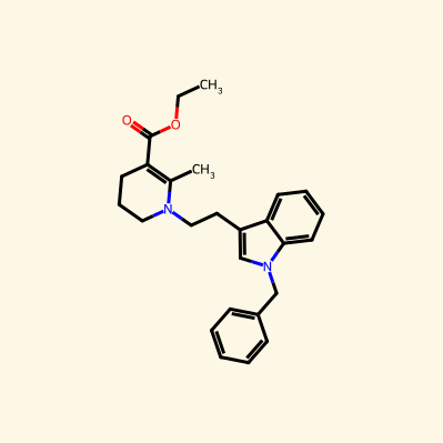 CCOC(=O)C1=C(C)N(CCc2cn(Cc3ccccc3)c3ccccc23)CCC1